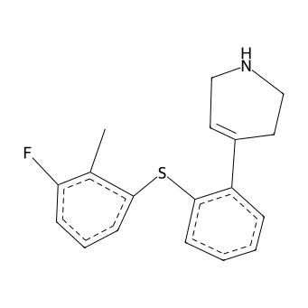 Cc1c(F)cccc1Sc1ccccc1C1=CCNCC1